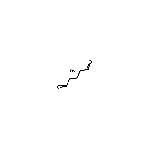 O=CCCCC=O.[Os]